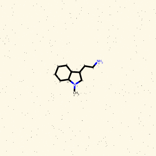 CN1CC(CCN)C2CCCCC21